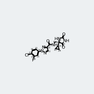 O=C1NC(=O)[C@](CNC(=O)c2cnn(-c3ccc(Cl)c(F)c3)n2)(C2CC2)N1